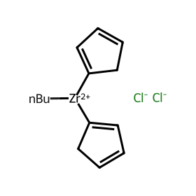 CCC[CH2][Zr+2]([C]1=CC=CC1)[C]1=CC=CC1.[Cl-].[Cl-]